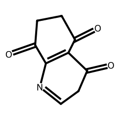 O=C1CCC(=O)C2=C1N=CCC2=O